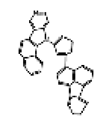 c1cc(-c2ccc3c4c(cccc24)-c2ccccc2-3)cc(-n2c3ccncc3c3ccc4ccccc4c32)c1